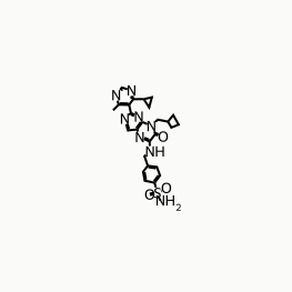 Cc1ncnc(C2CC2)c1-c1ncc2nc(NCc3ccc(S(N)(=O)=O)cc3)c(=O)n(CC3CCC3)c2n1